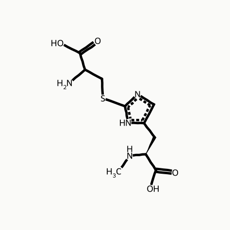 CN[C@@H](Cc1cnc(SCC(N)C(=O)O)[nH]1)C(=O)O